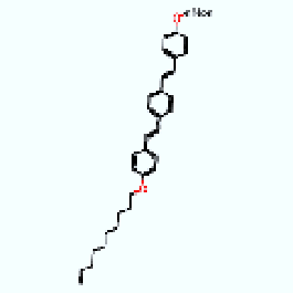 C=CCCCCCCCCOc1ccc(C=Cc2ccc(C=Cc3ccc(OCCCCCCCCC)cc3)cc2)cc1